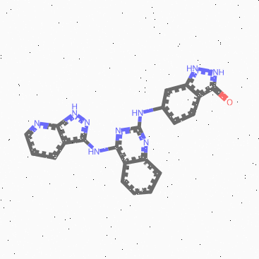 O=c1[nH][nH]c2cc(Nc3nc(Nc4n[nH]c5ncccc45)c4ccccc4n3)ccc12